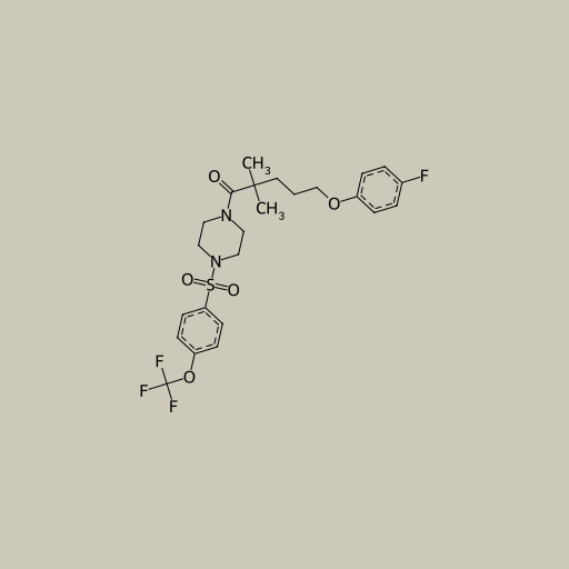 CC(C)(CCCOc1ccc(F)cc1)C(=O)N1CCN(S(=O)(=O)c2ccc(OC(F)(F)F)cc2)CC1